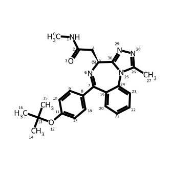 CNC(=O)C[C@@H]1N=C(c2ccc(OC(C)(C)C)cc2)c2ccccc2-n2c(C)nnc21